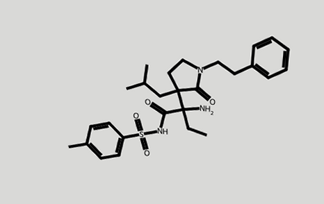 CCC(N)(C(=O)NS(=O)(=O)c1ccc(C)cc1)C1(CC(C)C)CCN(CCc2ccccc2)C1=O